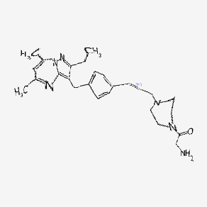 CCc1nn2c(C)cc(C)nc2c1Cc1ccc(/C=C/CN2CCN(C(=O)CN)CC2)cc1